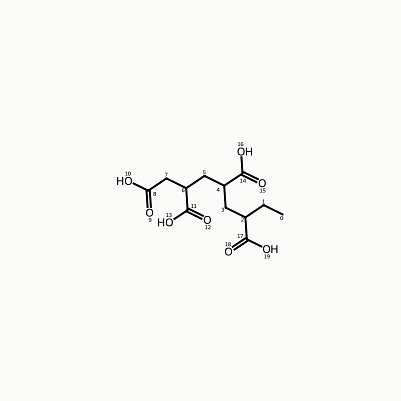 CCC(CC(CC(CC(=O)O)C(=O)O)C(=O)O)C(=O)O